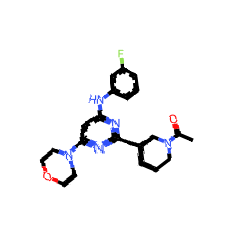 CC(=O)N1CCCC(c2nc(Nc3cccc(F)c3)cc(N3CCOCC3)n2)C1